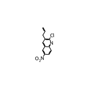 C=CCc1cc2cc([N+](=O)[O-])ccc2nc1Cl